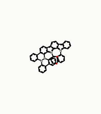 c1ccc(-n2c3ccccc3c3ccc4c5ccc6c(c5n(-c5ccccc5)c4c32)B2c3ccccc3-c3ccccc3N2c2ccccc2-6)cc1